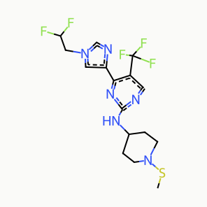 CSN1CCC(Nc2ncc(C(F)(F)F)c(-c3cn(CC(F)F)cn3)n2)CC1